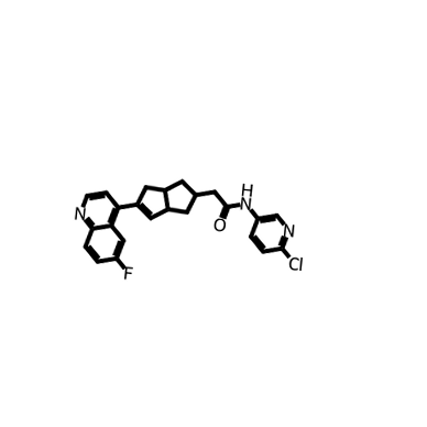 O=C(CC1CC2C=C(c3ccnc4ccc(F)cc34)CC2C1)Nc1ccc(Cl)nc1